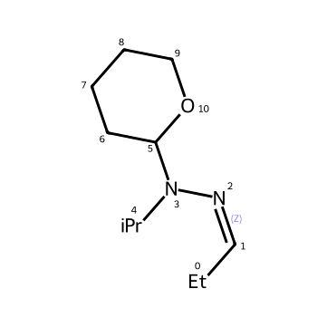 CC/C=N\N(C(C)C)C1CCCCO1